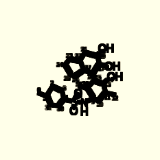 Cc1ccc(S(=O)(=O)Nc2cc(C)c(O)c(-c3c(O)c(O)cc4ccccc34)c2C)cc1